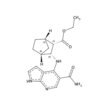 CCOC(=O)[C@H]1[C@H]2CC[C@H](C2)[C@H]1Nc1c(C(N)=O)cnc2[nH]ccc12